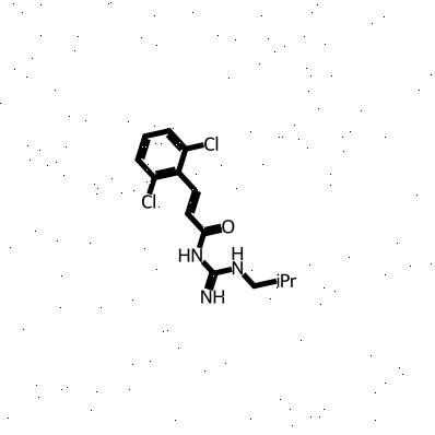 CC(C)CNC(=N)NC(=O)C=Cc1c(Cl)cccc1Cl